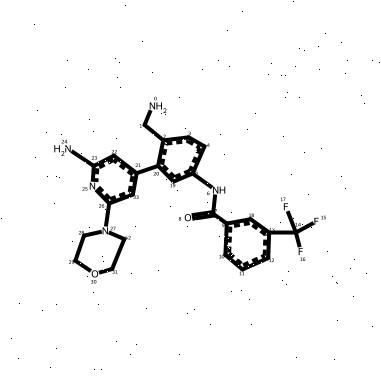 NCc1ccc(NC(=O)c2cccc(C(F)(F)F)c2)cc1-c1cc(N)nc(N2CCOCC2)c1